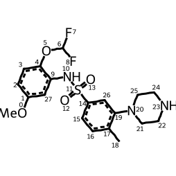 COc1ccc(OC(F)F)c(NS(=O)(=O)c2ccc(C)c(N3CCNCC3)c2)c1